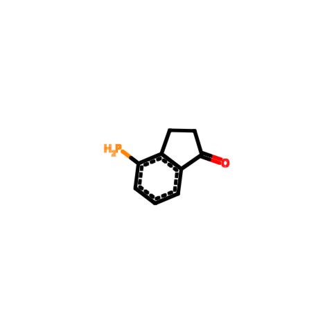 O=C1CCc2c(P)cccc21